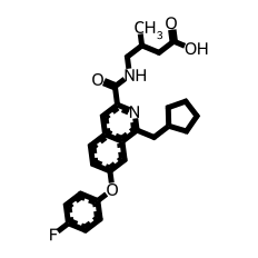 CC(CNC(=O)c1cc2ccc(Oc3ccc(F)cc3)cc2c(CC2CCCC2)n1)CC(=O)O